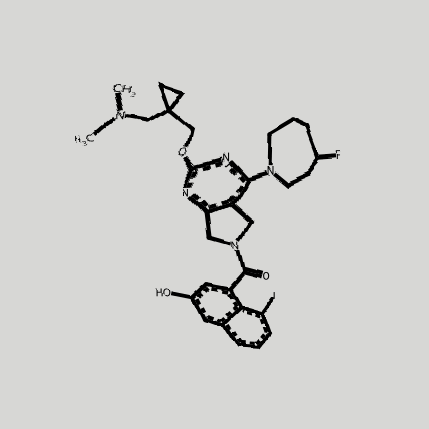 CN(C)CC1(COc2nc3c(c(N4CCCC(F)CC4)n2)CN(C(=O)c2cc(O)cc4cccc(I)c24)C3)CC1